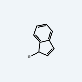 BrC1C=Cc2ccccc21